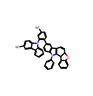 N#Cc1ccc(-c2ccc3c(c2)c2c(n3-c3ccccc3)C3c4ccccc4OC3C=C2)c(-n2c3ccccc3c3cc(C#N)ccc32)c1